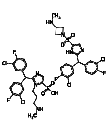 CNC1CN(S(=O)(=O)c2cnc(C(c3ccc(F)c(Cl)c3)c3ccc(F)c(Cl)c3)[nH]2)C1.CNCCCn1c(S(=O)(=O)O)cnc1C(c1ccc(F)c(Cl)c1)c1ccc(F)c(Cl)c1